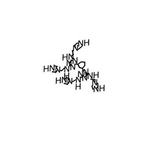 C1CC(c2nc(NCCN3CCNCC3)nc(NCCN3CCNCC3)n2)CC(c2nc(NCCN3CCNCC3)nc(NCCN3CCNCC3)n2)C1